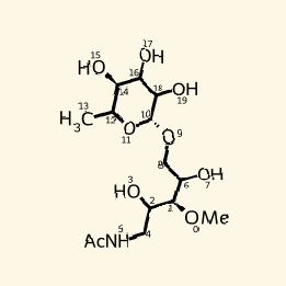 CO[C@@H](C(O)CNC(C)=O)C(O)CO[C@@H]1OC(C)[C@@H](O)C(O)C1O